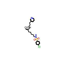 O=C(O)/C=C(/CCCCCNS(=O)(=O)c1ccc(Cl)cc1)CCCCc1cccnc1